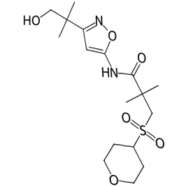 CC(C)(CS(=O)(=O)C1CCOCC1)C(=O)Nc1cc(C(C)(C)CO)no1